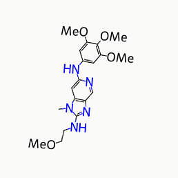 COCCNc1nc2cnc(Nc3cc(OC)c(OC)c(OC)c3)cc2n1C